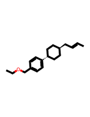 C/C=C/C[C@H]1CC[C@H](c2ccc(COCC)cc2)CC1